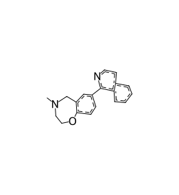 CN1CCOc2ccc(-c3nccc4ccccc34)cc2C1